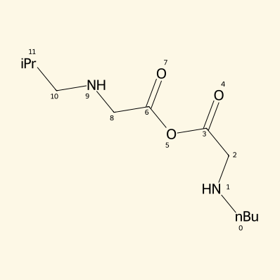 CCCCNCC(=O)OC(=O)CNCC(C)C